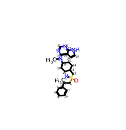 CN=S(=O)(CCc1ccccc1)CC1CCC(N(C)c2ncnc3[nH]ccc23)CC1